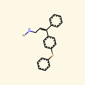 CCNCC=C(c1ccccc1)c1ccc(Sc2ccccc2)cc1